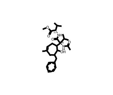 COC(=O)[C@@H](NC(=O)[C@@](NC(C)=O)(C(C)C)C1CC=C(C)CC(Cc2ccccc2)C1O)C(C)C